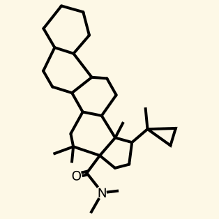 CN(C)C(=O)C12CCC(C3(C)CC3)C1(C)C1CCC3C4CCCCC4CCC3C1CC2(C)C